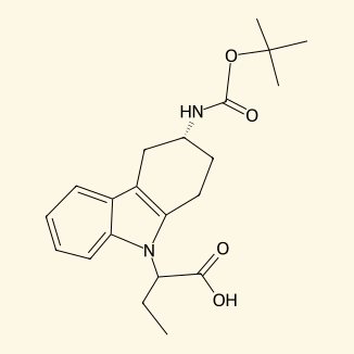 CCC(C(=O)O)n1c2c(c3ccccc31)C[C@H](NC(=O)OC(C)(C)C)CC2